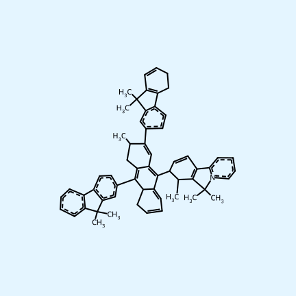 CC1CC2=C(c3ccc4c(c3)C(C)(C)c3ccccc3-4)C3CC=CC=C3C(C3C=CC4=C(C3C)C(C)(C)[n+]3ccccc34)=C2C=C1c1ccc2c(c1)C(C)(C)C1=C2CCC=C1